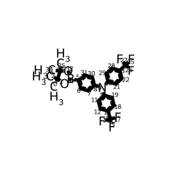 CC1(C)OB(c2ccc(N(c3ccc(C(F)(F)F)cc3)c3ccc(C(F)(F)F)cc3)cc2)OC1(C)C